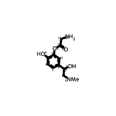 CNCC(O)c1ccc(O)c(OC(=O)CN)c1